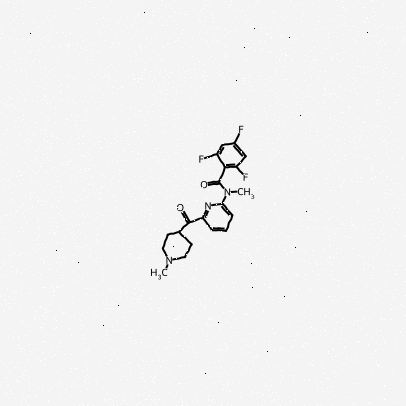 CN1CCC(C(=O)c2cccc(N(C)C(=O)c3c(F)cc(F)cc3F)n2)CC1